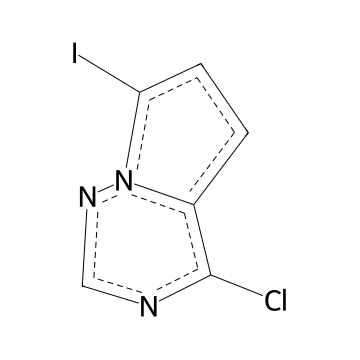 Clc1ncnn2c(I)ccc12